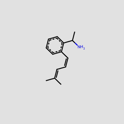 CC(C)=C/C=C\c1ccccc1C(C)N